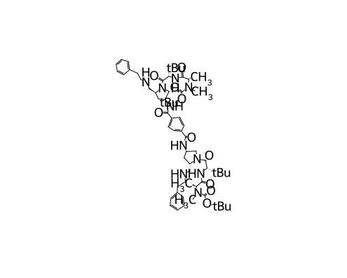 C[C@@H](C(=O)N[C@H](C(=O)N1C[C@@H](NC(=O)c2ccc(C(=O)N[C@H]3C[C@@H](CNCCc4ccccc4)N(C(=O)[C@@H](NC(=O)[C@H](C)N(C)C(=O)OC(C)(C)C)C(C)(C)C)C3)cc2)C[C@H]1CNCCc1ccccc1)C(C)(C)C)N(C)C(=O)OC(C)(C)C